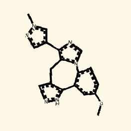 COc1ccc2c(c1)-c1[nH]ncc1Cc1c(-c3cnn(C)c3)ncn1-2